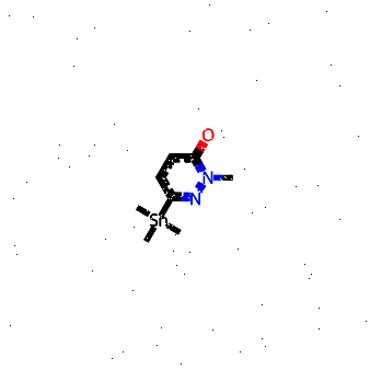 Cn1n[c]([Sn]([CH3])([CH3])[CH3])ccc1=O